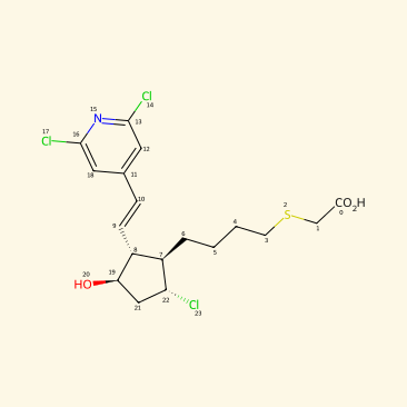 O=C(O)CSCCCC[C@@H]1[C@@H](/C=C/c2cc(Cl)nc(Cl)c2)[C@H](O)C[C@H]1Cl